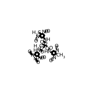 CCC(COC(=O)Nc1cc(N=C=O)c(C)c(N=C=O)c1)(COC(=O)Nc1cc(N=C=O)c(N=C=O)c(N=C=O)c1)OC(=O)Nc1cc(N=C=O)c(C)c(N=C=O)c1